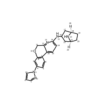 c1cnn(-c2ccc3c(c2)OCc2nc(NC4C[C@H]5CC[C@@H](C4)N5)ccc2-3)c1